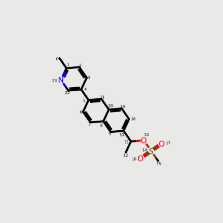 Cc1ccc(-c2ccc3cc(C(C)OS(C)(=O)=O)ccc3c2)cn1